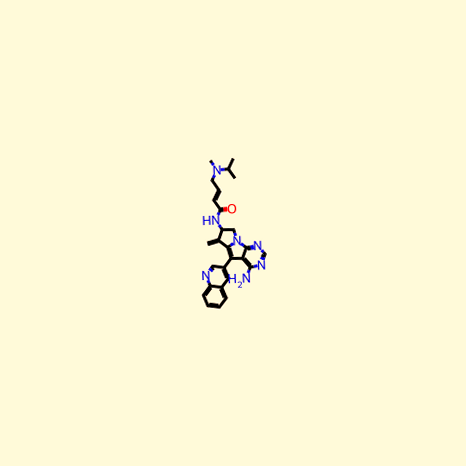 C=C1c2c(-c3cnc4ccccc4c3)c3c(N)ncnc3n2CC1NC(=O)C=CCN(C)C(C)C